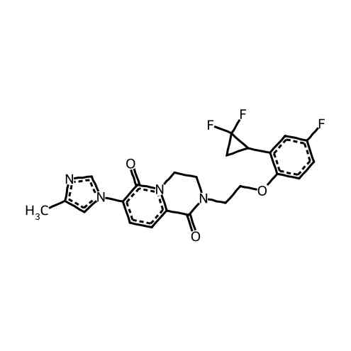 Cc1cn(-c2ccc3n(c2=O)CCN(CCOc2ccc(F)cc2C2CC2(F)F)C3=O)cn1